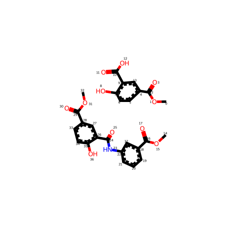 COC(=O)c1ccc(O)c(C(=O)O)c1.COC(=O)c1cccc(NC(=O)c2cc(C(=O)OC)ccc2O)c1